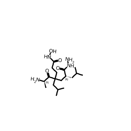 CC(C)C[C@H](CC(CCC(=O)NO)(CC(C)C)C(=O)[C@@H](C)N)C(=O)NN